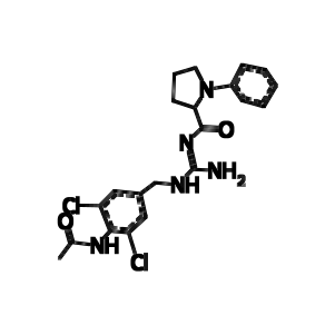 CC(=O)Nc1c(Cl)cc(CNC(N)=NC(=O)C2CCCN2c2ccccc2)cc1Cl